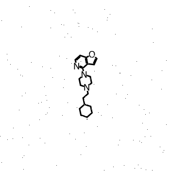 [CH]1CCC(CCN2CCN(c3nccc4occc34)CC2)CC1